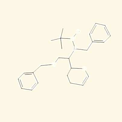 CC(C)(C)[S+]([O-])N(Cc1ccccc1)C(COCc1ccccc1)C1CCC=CO1